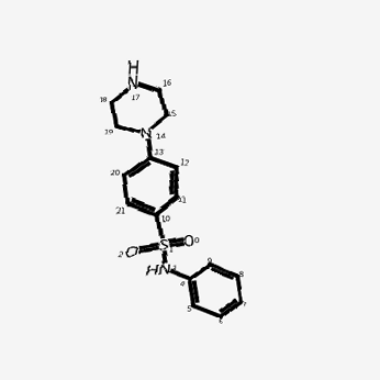 O=S(=O)(Nc1ccccc1)c1ccc(N2CCNCC2)cc1